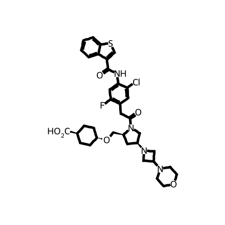 O=C(Nc1cc(F)c(CC(=O)N2C[C@@H](N3CC(N4CCOCC4)C3)C[C@H]2CO[C@H]2CC[C@H](C(=O)O)CC2)cc1Cl)c1csc2ccccc12